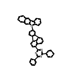 c1ccc(-c2nc(-c3ccccc3)nc(-c3ccc4c5c(cccc35)-c3cc(-n5c6ccccc6c6cc7ccccc7cc65)ccc3-4)n2)cc1